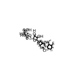 C[C@H](Nc1nc(Cl)nc2nn([C@H]3O[C@H](COP(=O)(O)CP(=O)(O)O)[C@@H](O)[C@H]3O)cc12)c1ccccc1F